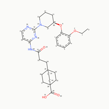 CCOc1ccccc1O[C@@H]1CCCN(c2nccc(NC(=O)CCC34CCC(C(=O)O)(CC3)CC4)n2)C1